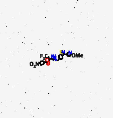 COc1ccc(-c2nsc3cc(Cn4cc(C(C)(CC(F)(F)F)OC(=O)c5ccc([N+](=O)[O-])cc5)nn4)ccc23)cn1